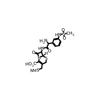 CSCC1=C(C(=O)O)N2C(=O)C(NC(=O)C(N)c3cccc(NS(C)(=O)=O)c3)[C@@H]2SC1